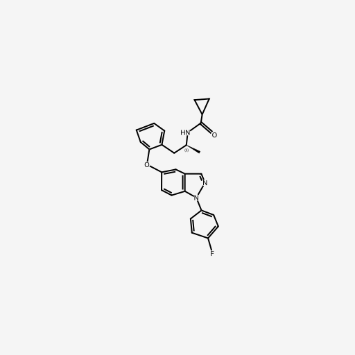 C[C@@H](Cc1ccccc1Oc1ccc2c(cnn2-c2ccc(F)cc2)c1)NC(=O)C1CC1